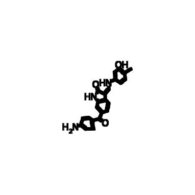 Cc1ccc(NC=C2C(=O)Nc3cc(C(=O)c4ccc(N)cc4)ccc32)cc1O